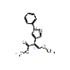 CO/C=C(/C(=O)OC)c1cnn(-c2ccccc2)c1